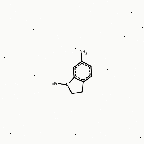 CCCN1CCc2ccc(N)cc21